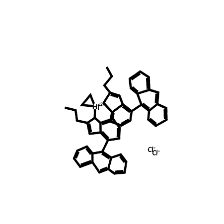 CCCC1=Cc2c(-c3c4ccccc4cc4ccccc34)cccc2[CH]1[Hf+2]1([CH]2C(CCC)=Cc3c(-c4c5ccccc5cc5ccccc45)cccc32)[CH2][CH2]1.[Cl-].[Cl-]